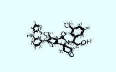 Cn1nccc1Nc1nccc(-c2sc3c(c2Cl)C(=O)N(C(CO)c2cccc(Cl)c2)C32COC2)n1